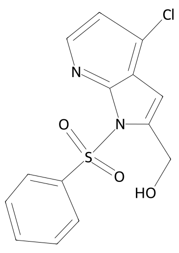 O=S(=O)(c1ccccc1)n1c(CO)cc2c(Cl)ccnc21